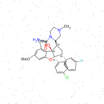 COc1cc(OC)c2c(c1)O[C@]1(c3ccc(Cl)cc3)[C@@H](c3cccc(F)c3)C[C@H](C3CN(C)CCN3C(N)=O)[C@@]21O